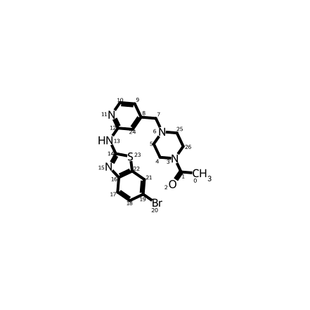 CC(=O)N1CCN(Cc2ccnc(Nc3nc4ccc(Br)cc4s3)c2)CC1